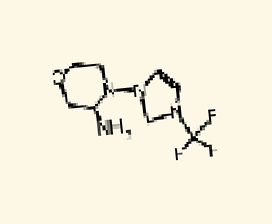 N[C@H]1COCCN1N1C=CN(C(F)(F)F)C1